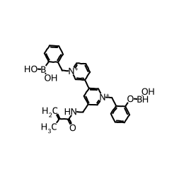 C=C(C)C(=O)NCc1cc(-c2ccc[n+](Cc3ccccc3B(O)O)c2)c[n+](Cc2ccccc2OBO)c1